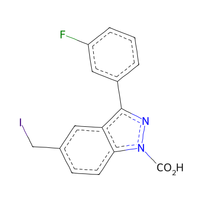 O=C(O)n1nc(-c2cccc(F)c2)c2cc(CI)ccc21